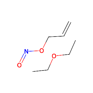 C=CCON=O.CCOCC